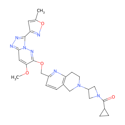 COc1cc2nnc(-c3cc(C)on3)n2nc1OCc1ccc2c(n1)CCN(C1CN(C(=O)C3CC3)C1)C2